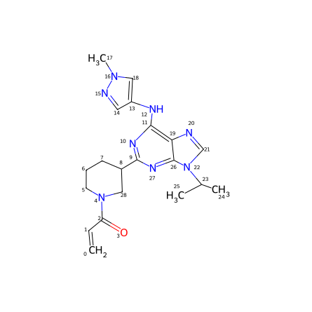 C=CC(=O)N1CCCC(c2nc(Nc3cnn(C)c3)c3ncn(C(C)C)c3n2)C1